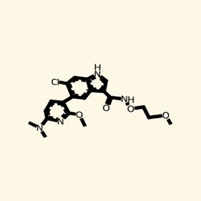 COCCONC(=O)c1c[nH]c2cc(Cl)c(-c3ccc(N(C)C)nc3OC)cc12